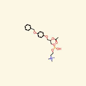 CC(=O)OC(COc1ccc(OCc2ccccc2)cc1)COP(O)OCC[N+](C)(C)C